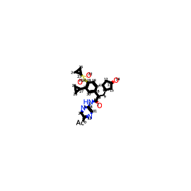 CC(=O)c1cnc(NC(=O)[C@H](C[C@H]2CCC(=O)C2)c2ccc(S(=O)(=O)C3CC3)c(C3CC3)c2)cn1